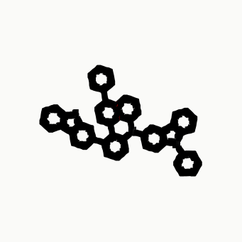 c1ccc(-c2ccc(-c3c(-c4ccc5c(c4)sc4ccccc45)cccc3N(c3ccccc3)c3ccc4c(c3)c3ccccc3n4-c3ccccc3)cc2)cc1